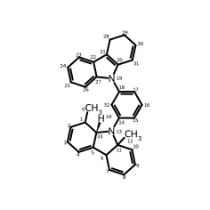 CC1C=CC=C2C3C=CC=CC3(C)N(c3cccc(-n4c5c(c6ccccc64)CCC=C5)c3)[C@H]21